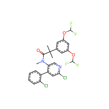 CN(C(=O)C(C)(C)c1cc(OC(F)F)cc(OC(F)F)c1)c1cnc(Cl)cc1-c1ccccc1Cl